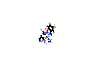 CCC(NC(=O)N1C(=O)[C@H](Cc2ccnc(N)c2)[C@H]1C(=O)N(C)c1nccn1C)c1ccc(F)c(F)c1C